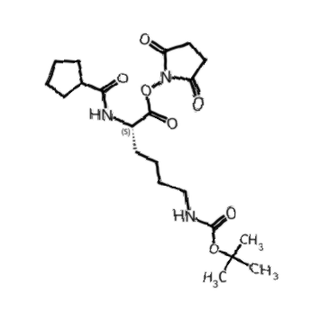 CC(C)(C)OC(=O)NCCCC[C@H](NC(=O)C1CCCC1)C(=O)ON1C(=O)CCC1=O